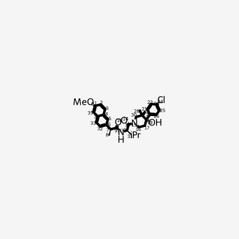 COc1ccc2cc([C@H](C)C(=O)N[C@@H](C(=O)N3CC[C@](O)(c4ccc(Cl)cc4)C(C)(C)C3)C(C)C)ccc2c1